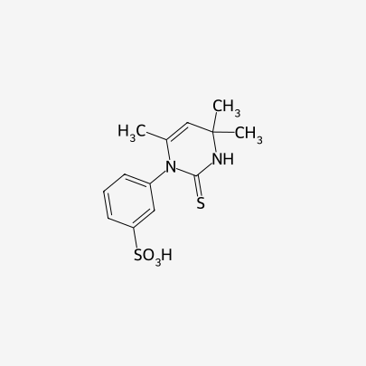 CC1=CC(C)(C)NC(=S)N1c1cccc(S(=O)(=O)O)c1